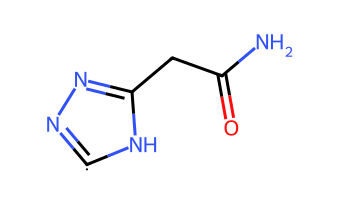 NC(=O)Cc1nn[c][nH]1